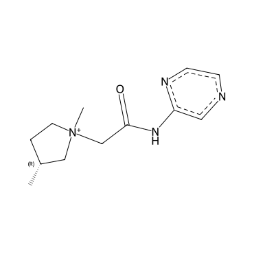 C[C@@H]1CC[N+](C)(CC(=O)Nc2cnccn2)C1